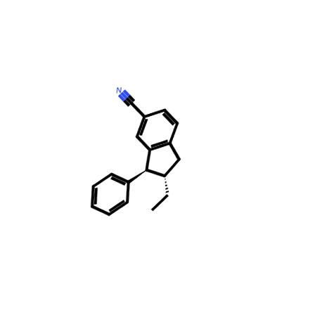 CC[C@H]1Cc2ccc(C#N)cc2[C@@H]1c1ccccc1